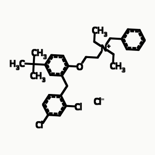 CC[N+](CC)(CCOc1ccc(C(C)(C)C)cc1Cc1ccc(Cl)cc1Cl)Cc1ccccc1.[Cl-]